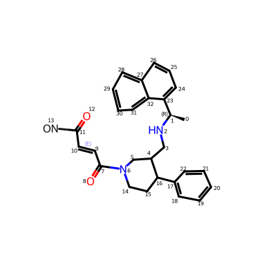 C[C@@H](NCC1CN(C(=O)/C=C/C(=O)N=O)CCC1c1ccccc1)c1cccc2ccccc12